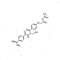 N=C(N)c1ccc(C(=O)NC(CO)C(=O)c2ccc(OCC(=O)OC(=O)C(F)(F)F)cc2)cc1